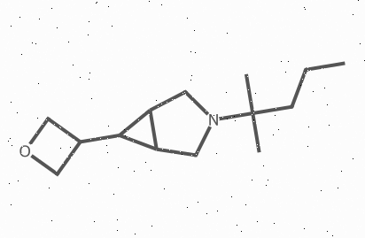 CCCC(C)(C)N1CC2C(C1)C2C1COC1